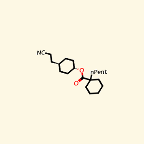 CCCCCC1(C(=O)O[C@H]2CC[C@H](CCC#N)CC2)CCCCC1